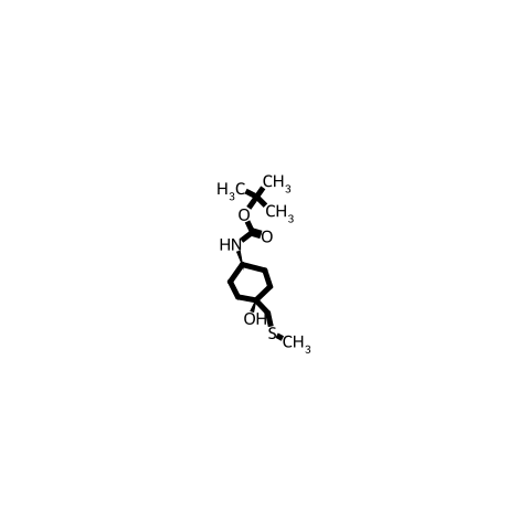 CSC[C@]1(O)CC[C@@H](NC(=O)OC(C)(C)C)CC1